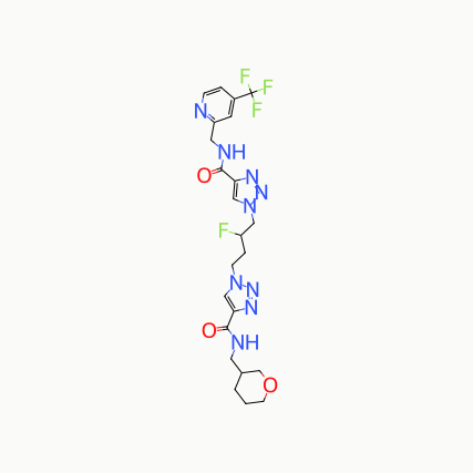 O=C(NCC1CCCOC1)c1cn(CCC(F)Cn2cc(C(=O)NCc3cc(C(F)(F)F)ccn3)nn2)nn1